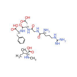 CN[C@H](C(=O)O)C(C)C.N=C(N)NCCC[C@H](N)C(=O)NCC(=O)N[C@@H](CC(=O)O)C(=O)N[C@H](Cc1ccccc1)C(=O)O